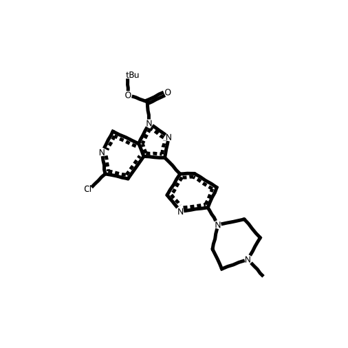 CN1CCN(c2ccc(-c3nn(C(=O)OC(C)(C)C)c4cnc(Cl)cc34)cn2)CC1